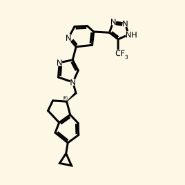 FC(F)(F)c1[nH]nnc1-c1ccnc(-c2cn(C[C@@H]3CCc4cc(C5CC5)ccc43)cn2)c1